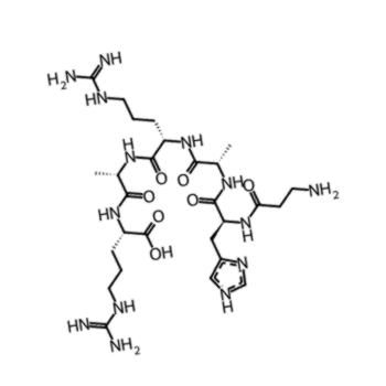 C[C@H](NC(=O)[C@H](Cc1c[nH]cn1)NC(=O)CCN)C(=O)N[C@@H](CCCNC(=N)N)C(=O)N[C@@H](C)C(=O)N[C@@H](CCCNC(=N)N)C(=O)O